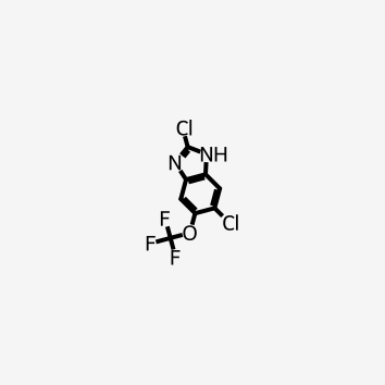 FC(F)(F)Oc1cc2nc(Cl)[nH]c2cc1Cl